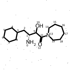 N[C@H](CC1CCCCC1)C(O)C(=O)N1CCCCCC1